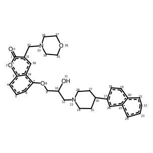 O=c1oc2cccc(OCC(O)CN3CCC(c4ccc5ccccc5c4)CC3)c2cc1CN1CCOCC1